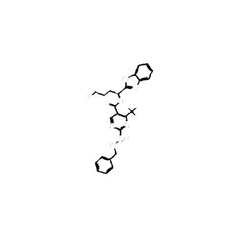 NCCCC(NC(=O)c1cnc(NNCc2ccccc2)nc1C(F)(F)F)c1nc2ccccc2[nH]1